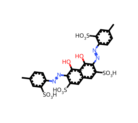 Cc1ccc(/N=N/c2c(S(=O)(=O)O)cc3cc(S(=O)(=O)O)c(/N=N/c4ccc(C)cc4S(=O)(=O)O)c(O)c3c2O)c(S(=O)(=O)O)c1